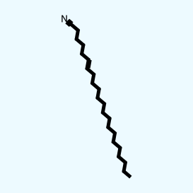 CCCCCCCCCCCCCCC/C=C/CCCCC#N